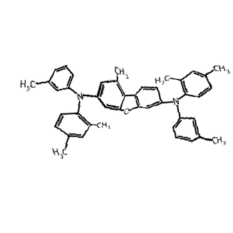 Cc1cccc(N(c2ccc3c(c2)oc2cc(N(c4cccc(C)c4)c4ccc(C)cc4C)cc(C)c23)c2ccc(C)cc2C)c1